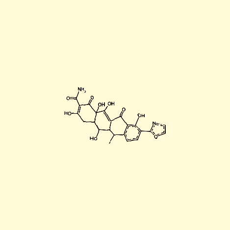 CC1c2ccc(-c3ncco3)c(O)c2C(=O)C2=C(O)C3(O)C(=O)C(C(N)=O)=C(O)CC3C(O)C21